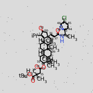 CC(C)C1=C2[C@H]3CC[C@@H]4[C@@]5(C)CC[C@H](OC(=O)CC(C)(C)C(=O)OC(C)(C)C)C(C)(C)[C@@H]5CC[C@@]4(C)[C@]3(C)CC[C@@]2(C=CC(=O)N[C@@H](C)c2ccc(Cl)cn2)CC1=O